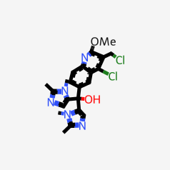 COc1nc2ccc(C(O)(c3cnc(C)n3C)c3cnc(C)n3C)cc2c(Cl)c1CCl